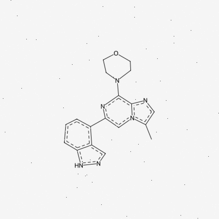 Cc1cnc2c(N3CCOCC3)nc(-c3cccc4[nH]ncc34)cn12